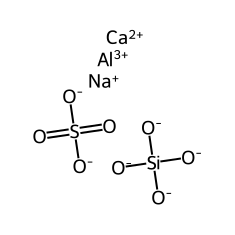 O=S(=O)([O-])[O-].[Al+3].[Ca+2].[Na+].[O-][Si]([O-])([O-])[O-]